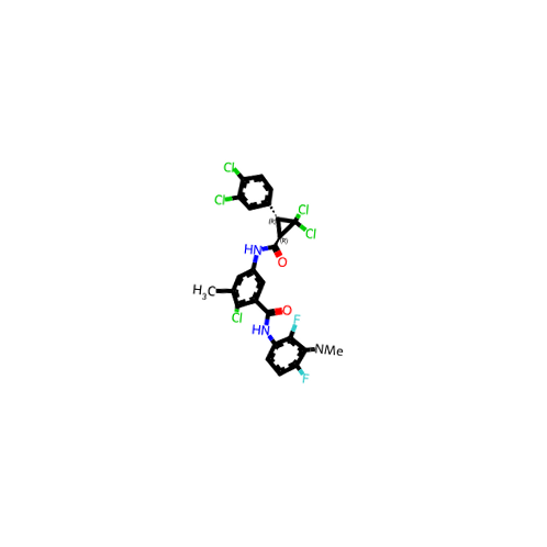 CNc1c(F)ccc(NC(=O)c2cc(NC(=O)[C@H]3[C@H](c4ccc(Cl)c(Cl)c4)C3(Cl)Cl)cc(C)c2Cl)c1F